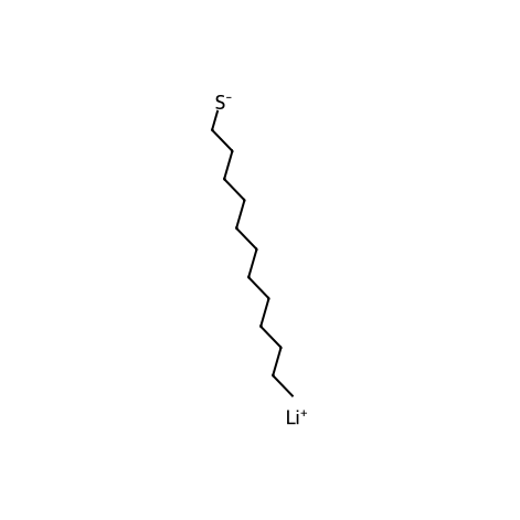 CCCCCCCCCCCC[S-].[Li+]